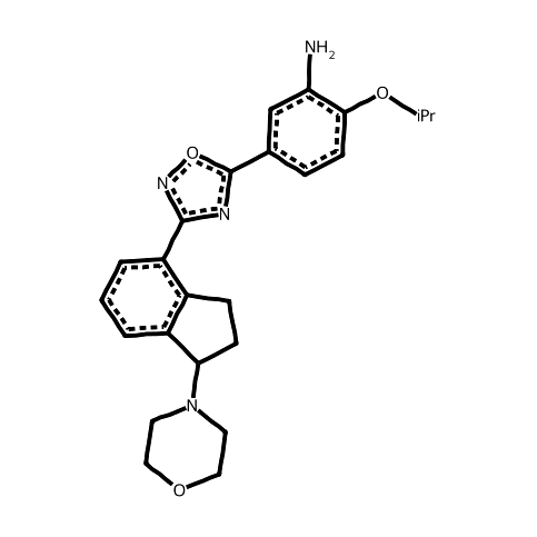 CC(C)Oc1ccc(-c2nc(-c3cccc4c3CCC4N3CCOCC3)no2)cc1N